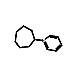 c1cc[n+](C2CCCCCC2)cc1